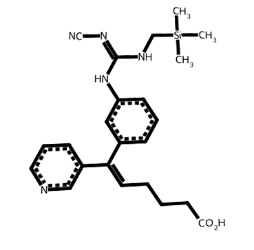 C[Si](C)(C)CN/C(=N/C#N)Nc1cccc(/C(=C\CCCC(=O)O)c2cccnc2)c1